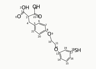 O=C(O)C(Cc1ccc(OCCOc2cccc(S)c2)cc1)C(=O)O